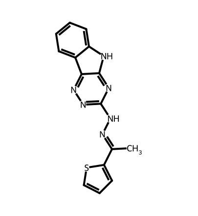 C/C(=N\Nc1nnc2c(n1)[nH]c1ccccc12)c1cccs1